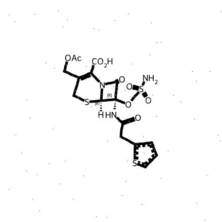 CC(=O)OCC1=C(C(=O)O)N2C(=O)[C@@](NC(=O)Cc3cccs3)(OS(N)(=O)=O)[C@H]2SC1